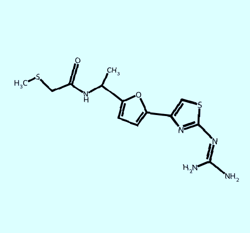 CSCC(=O)NC(C)c1ccc(-c2csc(N=C(N)N)n2)o1